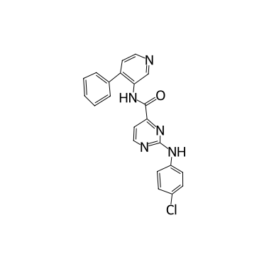 O=C(Nc1cnccc1-c1ccccc1)c1ccnc(Nc2ccc(Cl)cc2)n1